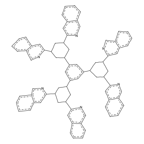 c1ccc2cc(C3CC(c4cc(C5CC(c6cc7ccccc7cn6)CC(c6cc7ccccc7cn6)C5)cc(C5CC(c6cc7ccccc7cn6)CC(c6cc7ccccc7cn6)C5)c4)CC(c4cc5ccccc5cn4)C3)ncc2c1